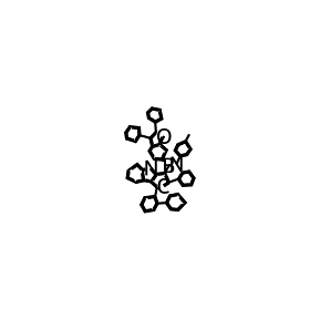 Cc1ccc(N2B3c4cc5oc(-c6ccccc6)c(-c6ccccc6)c5cc4-n4c5ccccc5c5c(-c6ccccc6-c6ccccc6)cc(c3c54)-c3ccccc32)cc1